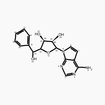 Nc1ncnc2c1ccn2C1OC(C(O)c2ccccc2)[C@@H](O)[C@H]1O